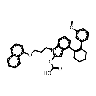 COc1cccc(C2=C(c3cccc4c3cc(OC(=O)O)n4CCCOc3cccc4ccccc34)CCCC2)c1